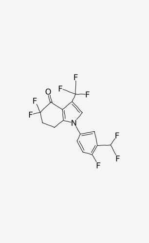 O=C1c2c(C(F)(F)F)cn(-c3ccc(F)c(C(F)F)c3)c2CCC1(F)F